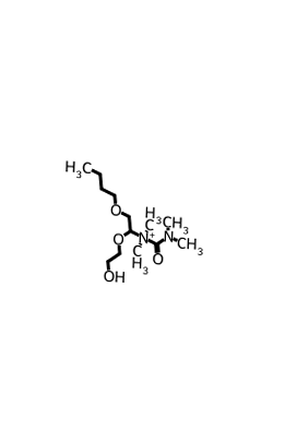 CCCCOCC(OCCO)[N+](C)(C)C(=O)N(C)C